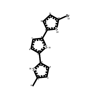 Cc1ccc(-c2ccc(-c3ccc(Br)s3)s2)s1